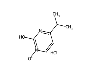 CC(C)c1cc[n+]([O-])c(O)n1.Cl